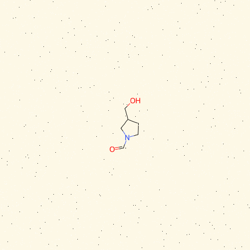 O=[C]N1CCC(CO)C1